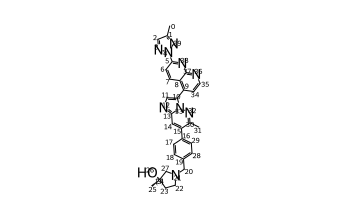 Cc1cnn(-c2ccc3c(-c4cnc5cc(-c6ccc(CN7CC[C@](C)(O)C7)cc6)c(C)nn45)ccnc3n2)n1